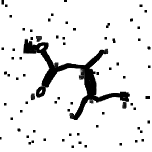 CC/C(C)=C(\C)C(=O)OC